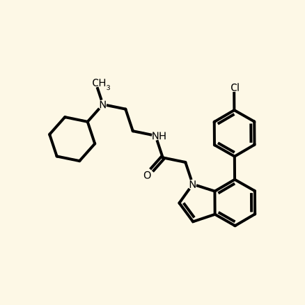 CN(CCNC(=O)Cn1ccc2cccc(-c3ccc(Cl)cc3)c21)C1CCCCC1